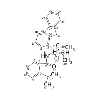 CC(C)c1ccccc1C(=O)[NH][Hf]([Cl])([Cl])([c]1cccc2c1Cc1ccccc1-2)[SiH](C)C